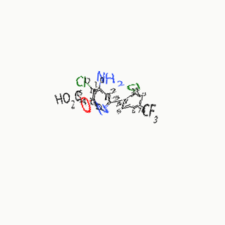 Nc1cc(-c2ccc(C(F)(F)F)cc2Cl)nc(OC(=O)O)c1Cl